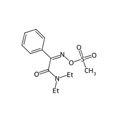 CCN(CC)C(=O)C(=NOS(C)(=O)=O)c1ccccc1